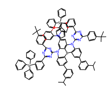 CC(C)c1cccc(-c2ccc3c(c2)B2c4cc(-c5cccc(C(C)C)c5)ccc4N(c4nc(-c5ccc(C(C)(C)C)cc5)nc(-c5cccc([Si](c6ccccc6)(c6ccccc6)c6ccccc6)c5)n4)c4cc(N5c6ccccc6Oc6ccccc65)cc(c42)N3c2nc(-c3ccc(C(C)(C)C)cc3)nc(-c3cccc([Si](c4ccccc4)(c4ccccc4)c4ccccc4)c3)n2)c1